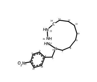 O=[N+]([O-])c1ccc(CN2CCCCCCCCNNN2)cc1